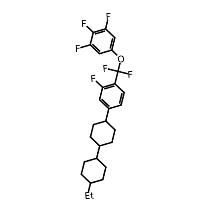 CCC1CCC(C2CCC(c3ccc(C(F)(F)Oc4cc(F)c(F)c(F)c4)c(F)c3)CC2)CC1